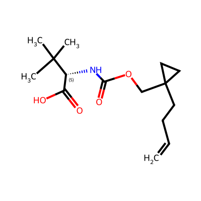 C=CCCC1(COC(=O)N[C@H](C(=O)O)C(C)(C)C)CC1